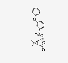 C[C@H](O[C@@H]1OC(=O)C2C1C2(C)C)c1cccc(Oc2ccccc2)c1